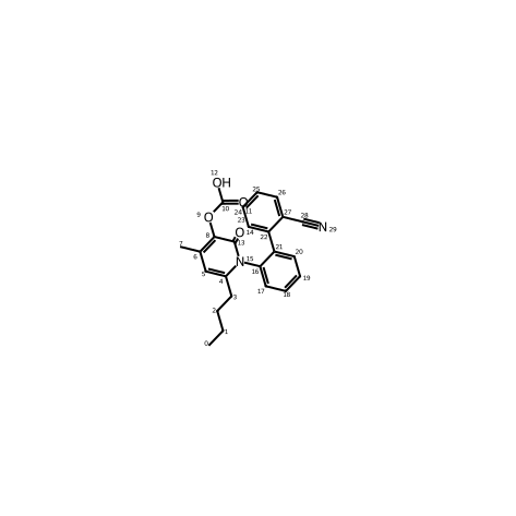 CCCCc1cc(C)c(OC(=O)O)c(=O)n1-c1ccccc1-c1ccccc1C#N